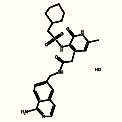 Cc1cc(CC(=O)NCc2ccc3c(N)nccc3c2)c(NS(=O)(=O)CC2CCCCC2)c(=O)[nH]1.Cl